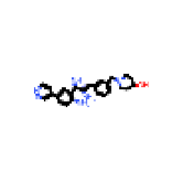 N=C(/C(N)=C/c1cccc(CN2CCC(O)CC2)c1)c1cc(-c2ccnnc2)ccc1N